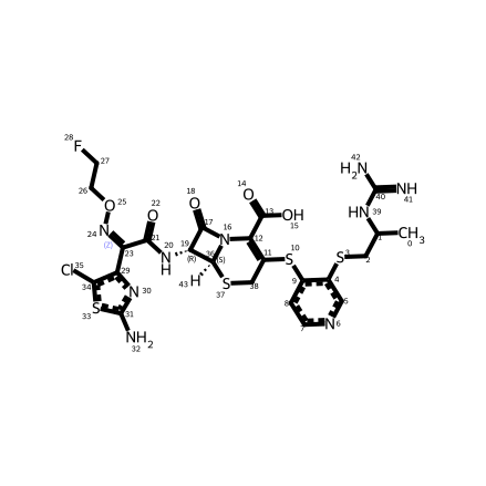 CC(CSc1cnccc1SC1=C(C(=O)O)N2C(=O)[C@@H](NC(=O)/C(=N\OCCF)c3nc(N)sc3Cl)[C@@H]2SC1)NC(=N)N